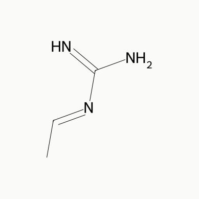 CC=NC(=N)N